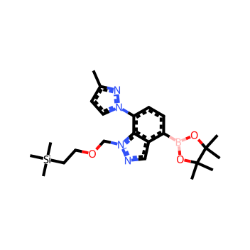 Cc1ccn(-c2ccc(B3OC(C)(C)C(C)(C)O3)c3cnn(COCC[Si](C)(C)C)c23)n1